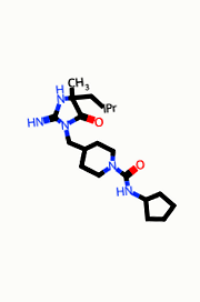 CC(C)CC1(C)NC(=N)N(CC2CCN(C(=O)NC3CCCC3)CC2)C1=O